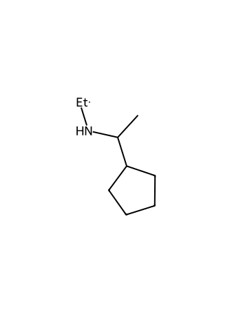 C[CH]NC(C)C1CCCC1